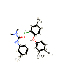 CN(C)C(=O)Nc1cccc(C(F)(F)F)c1.O=C(O)c1cc(Oc2ccc(C(F)(F)F)cc2Cl)ccc1[N+](=O)[O-]